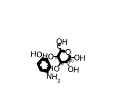 Nc1ccc(O)cc1.OC[C@H]1O[C@@H](O)[C@H](O)[C@@H](O)[C@H]1O